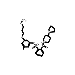 Cc1cc(OCCCON)cc(OS(=O)(=O)c2ccccc2S(=O)(=O)N2CCC(N3CCCC3)CC2)c1